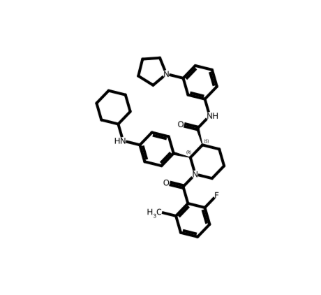 Cc1cccc(F)c1C(=O)N1CCC[C@H](C(=O)Nc2cccc(N3CCCC3)c2)[C@@H]1c1ccc(NC2CCCCC2)cc1